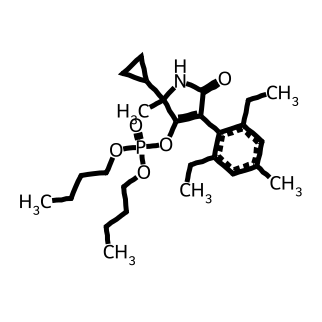 CCCCOP(=O)(OCCCC)OC1=C(c2c(CC)cc(C)cc2CC)C(=O)NC1(C)C1CC1